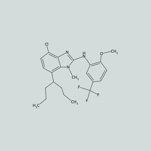 CCCC(CCC)c1ccc(Cl)c2nc(Nc3cc(C(F)(F)F)ccc3OC)n(C)c12